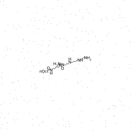 CCCCCCCCC(=O)NCCCC[C@H](N)C(=O)NCCCNCCCCNCCCN